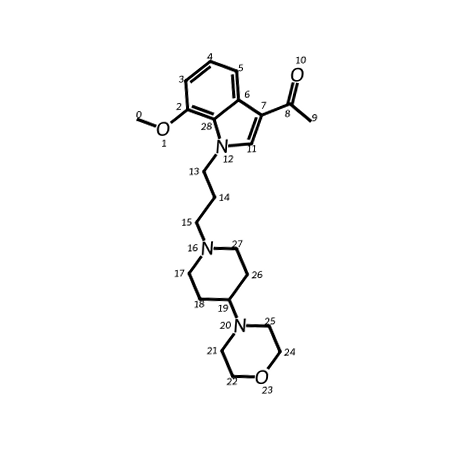 COc1cccc2c(C(C)=O)cn(CCCN3CCC(N4CCOCC4)CC3)c12